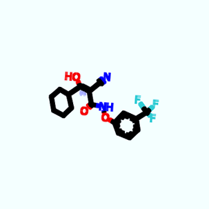 N#C/C(C(=O)NOc1cccc(C(F)(F)F)c1)=C(\O)C1CCCCC1